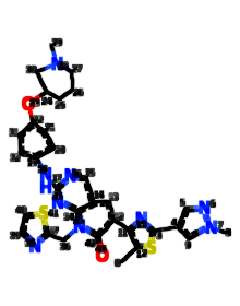 Cc1sc(-c2cnn(C)c2)nc1-c1cc2cnc(Nc3ccc(OC4CCCN(C)C4)cc3)nc2n(Cc2nccs2)c1=O